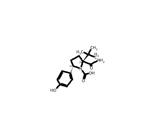 CC(C)(C)[C@]1(C(N)=O)CC[C@@H](c2ccc(O)cc2)N1C(=O)O